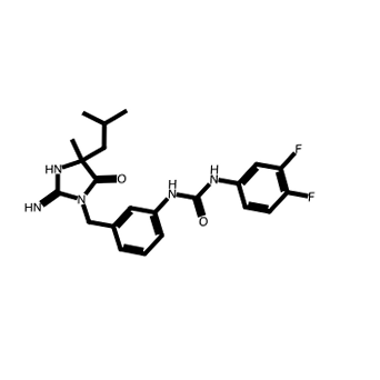 CC(C)CC1(C)NC(=N)N(Cc2cccc(NC(=O)Nc3ccc(F)c(F)c3)c2)C1=O